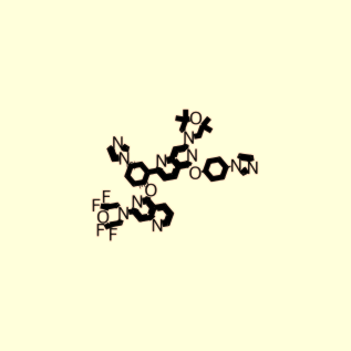 CC1(C)CN(c2cc3nc(C4C[C@@H](n5ccnc5)CC[C@H]4Oc4nc(N5CC(F)(F)OC(F)(F)C5)cc5ncccc45)ccc3c(O[C@H]3CC[C@@H](n4ccnc4)CC3)n2)CC(C)(C)O1